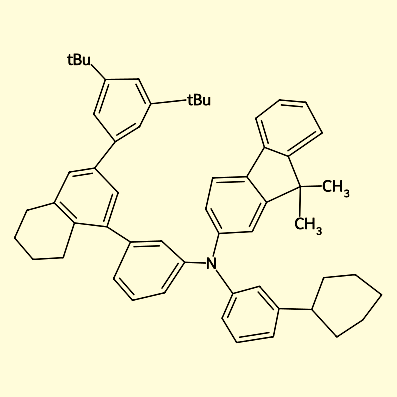 CC(C)(C)c1cc(-c2cc3c(c(-c4cccc(N(c5cccc(C6CCCCC6)c5)c5ccc6c(c5)C(C)(C)c5ccccc5-6)c4)c2)CCCC3)cc(C(C)(C)C)c1